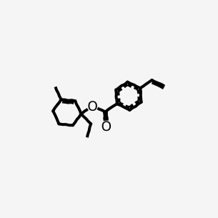 C=Cc1ccc(C(=O)OC2(CC)C=C(C)CCC2)cc1